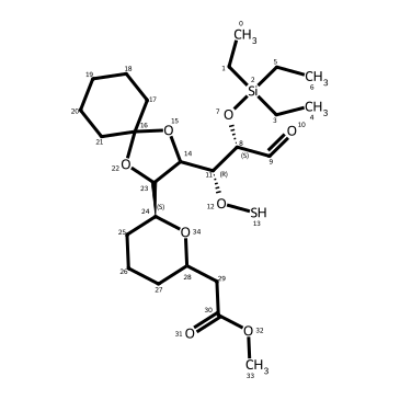 CC[Si](CC)(CC)O[C@H](C=O)[C@H](OS)C1OC2(CCCCC2)OC1[C@@H]1CCCC(CC(=O)OC)O1